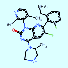 CC(=O)NCc1cccc(F)c1-c1nc2c(cc1F)c(N1CCNC[C@@H]1C)nc(=O)n2-c1c(C)ccnc1C(C)C